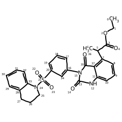 CCOC(=O)C(C)c1cccc2[nH]c(=O)n(-c3cccc(S(=O)(=O)N4CCCc5ccccc54)c3)c(=O)c12